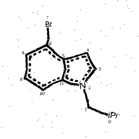 C[C](C)Cn1ccc2c(Br)cccc21